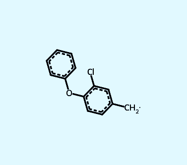 [CH2]c1ccc(Oc2ccccc2)c(Cl)c1